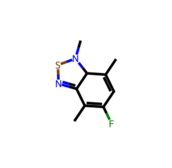 CC1=CC(F)=C(C)C2=NSN(C)C12